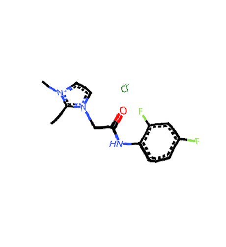 Cc1n(CC(=O)Nc2ccc(F)cc2F)cc[n+]1C.[Cl-]